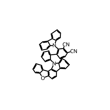 N#Cc1ccc(-c2ccccc2-n2c3ccccc3c3ccc4oc5ccccc5c4c32)c(-n2c3ccccc3c3ccccc32)c1C#N